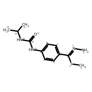 CS/C(=N\N)c1ccc(NC(=O)NC(C)C)cc1